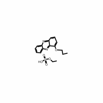 CCCOc1cccc2nc3ccccc3nc12.CCOS(=O)(=O)O